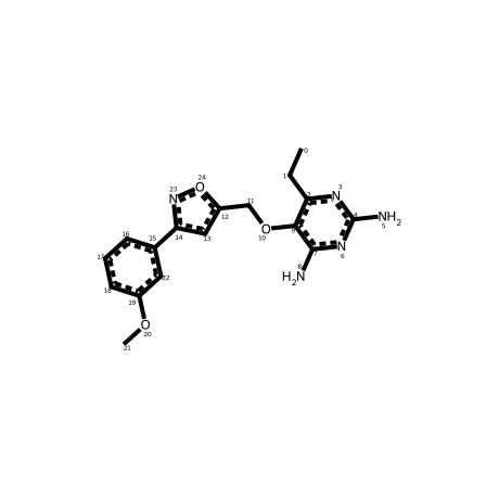 CCc1nc(N)nc(N)c1OCc1cc(-c2cccc(OC)c2)no1